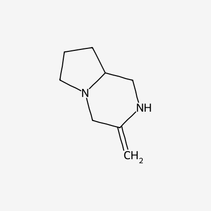 C=C1CN2CCCC2CN1